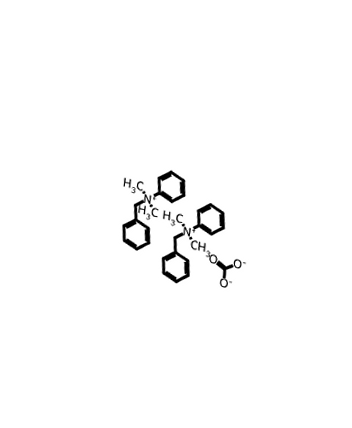 C[N+](C)(Cc1ccccc1)c1ccccc1.C[N+](C)(Cc1ccccc1)c1ccccc1.O=C([O-])[O-]